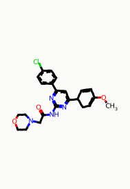 COC1=CCC(c2cc(-c3ccc(Cl)cc3)nc(NC(=O)CN3CCOCC3)n2)C=C1